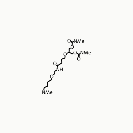 CNCCCCOCCNC(=O)CCCOC(COC(=O)NC)COC(=O)NC